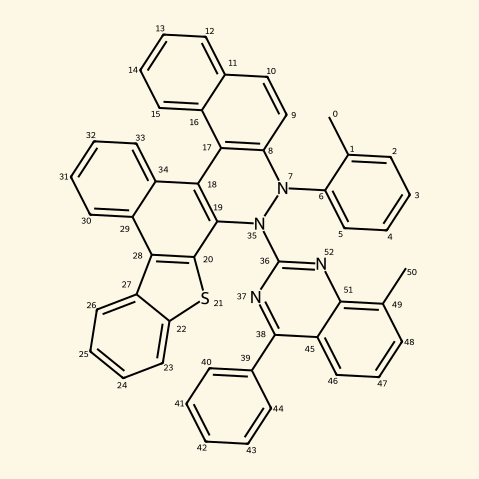 Cc1ccccc1N1c2ccc3ccccc3c2-c2c(c3sc4ccccc4c3c3ccccc23)N1c1nc(-c2ccccc2)c2cccc(C)c2n1